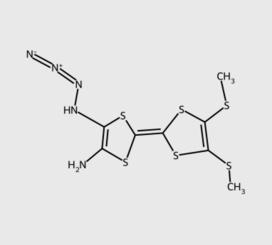 CSC1=C(SC)SC(=C2SC(N)=C(NN=[N+]=[N-])S2)S1